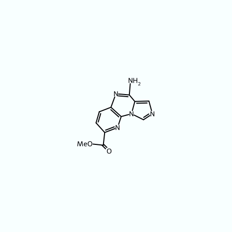 COC(=O)c1ccc2nc(N)c3cncn3c2n1